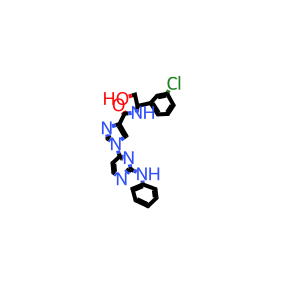 O=C(NC(CO)c1cccc(Cl)c1)c1cn(-c2ccnc(Nc3ccccc3)n2)cn1